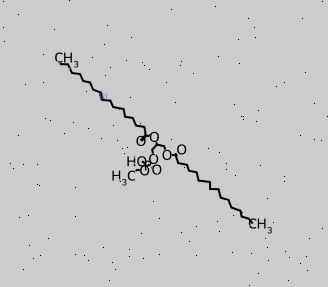 CCCCCCCC/C=C/CCCCCCCC(=O)OC(COC(=O)CCCCCCCCCCCCCCC)COP(=O)(O)OCC